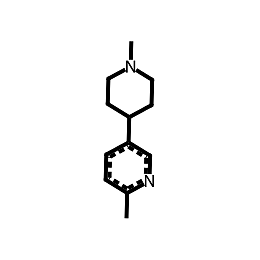 Cc1ccc(C2CCN(C)CC2)cn1